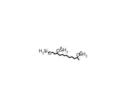 C[SiH2]OCCC(CCCCCCCC(C)O[SiH2]C)O[SiH2]C